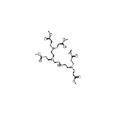 COC(=O)CCN(CCNCCN(CCC(=O)OC)CCN(CCC(=O)OC)CCC(=O)OC)CCC(=O)OC